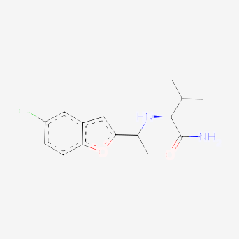 CC(N[C@H](C(N)=O)C(C)C)c1cc2cc(Cl)ccc2o1